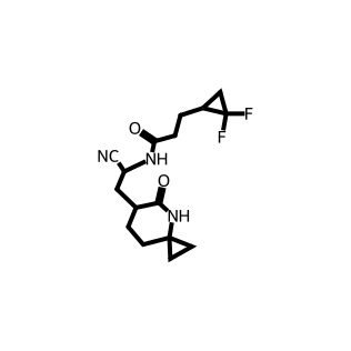 N#CC(CC1CCC2(CC2)NC1=O)NC(=O)CCC1CC1(F)F